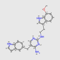 COc1cccc2c(CCNc3ncc(Cc4ccc5[nH]ccc5c4)c(N)n3)c[nH]c12